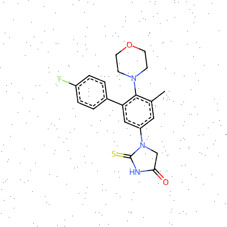 Cc1cc(N2CC(=O)NC2=S)cc(-c2ccc(F)cc2)c1N1CCOCC1